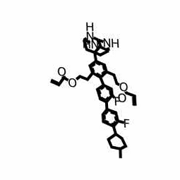 C=CC(=O)OCCc1cc(C23CC4NC(C2)NC(C3)N4)cc(CCOC(=O)C=C)c1-c1ccc(-c2ccc(C3CCC(C)CC3)c(F)c2)c(F)c1